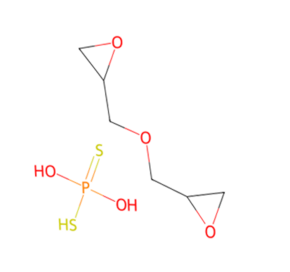 C(OCC1CO1)C1CO1.OP(O)(=S)S